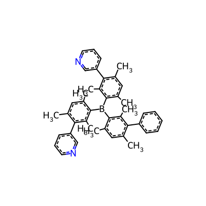 Cc1cc(C)c(-c2ccccc2)c(C)c1B(c1c(C)cc(C)c(-c2cccnc2)c1C)c1c(C)cc(C)c(-c2cccnc2)c1C